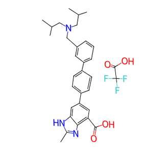 Cc1nc2c(C(=O)O)cc(-c3ccc(-c4cccc(CN(CC(C)C)CC(C)C)c4)cc3)cc2[nH]1.O=C(O)C(F)(F)F